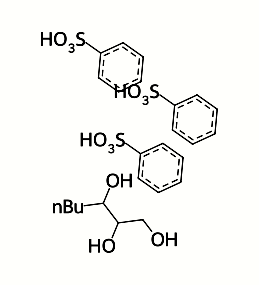 CCCCC(O)C(O)CO.O=S(=O)(O)c1ccccc1.O=S(=O)(O)c1ccccc1.O=S(=O)(O)c1ccccc1